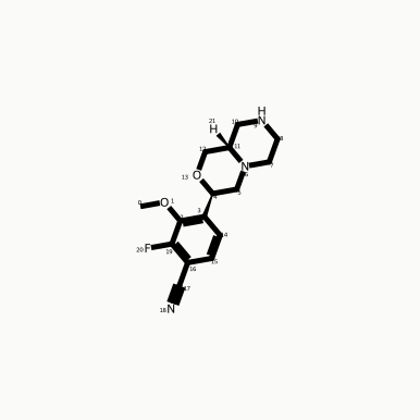 COc1c([C@@H]2CN3CCNC[C@H]3CO2)ccc(C#N)c1F